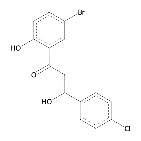 O=C(C=C(O)c1ccc(Cl)cc1)c1cc(Br)ccc1O